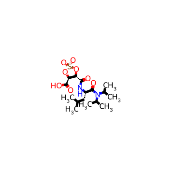 CC(C)C[C@H](NC(=O)[C@H]1OS(=O)(=O)O[C@@H]1C(=O)O)C(=O)N(C(C)C)C(C)C